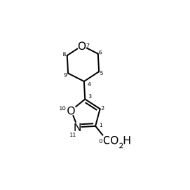 O=C(O)c1cc(C2CCOCC2)on1